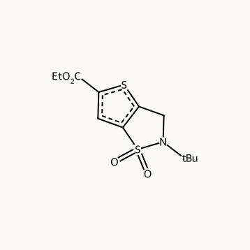 CCOC(=O)c1cc2c(s1)CN(C(C)(C)C)S2(=O)=O